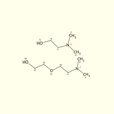 CN(C)CCO.CN(C)CCOCCO